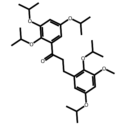 COc1cc(OC(C)C)cc(CCC(=O)c2cc(OC(C)C)cc(OC(C)C)c2OC(C)C)c1OC(C)C